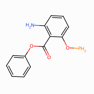 Nc1cccc(OP)c1C(=O)Oc1ccccc1